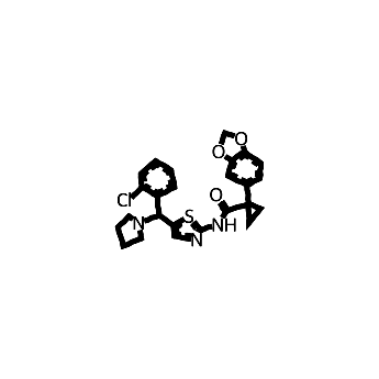 O=C(Nc1ncc(C(c2ccccc2Cl)N2CCCC2)s1)C1(c2ccc3c(c2)OCO3)CC1